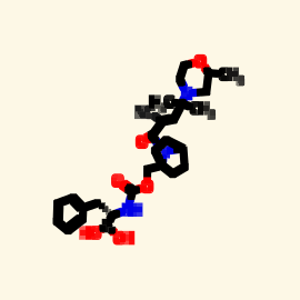 CC1CN(C(C)(C)C=C(C#N)C(=O)N2C3CCC2(COC(=O)N[C@@H](Cc2ccccc2)B(O)O)CC3)CCO1